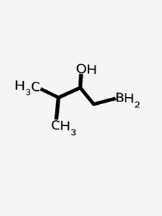 BCC(O)C(C)C